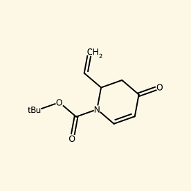 C=CC1CC(=O)C=CN1C(=O)OC(C)(C)C